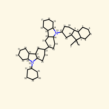 CC1(C)C2CCCCC2C2CCC(N3C4CCCCC4C4CC(C5CCC6C(C5)C5CCCCC5N6C5CCCCC5)CCC43)CC21